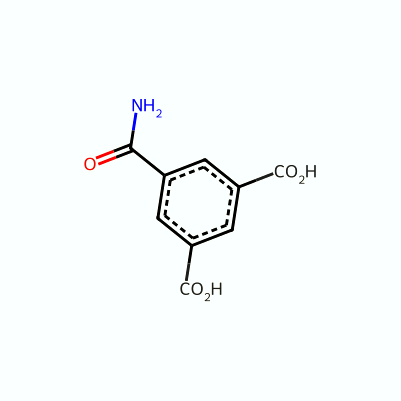 NC(=O)c1cc(C(=O)O)cc(C(=O)O)c1